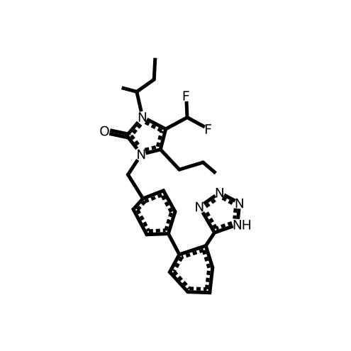 CCCc1c(C(F)F)n(C(C)CC)c(=O)n1Cc1ccc(-c2ccccc2-c2nnn[nH]2)cc1